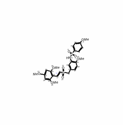 COc1ccc(S(=O)(=O)Nc2cc(CS(=O)(=O)/C=C/c3c(OC)cc(OC)cc3OC)ccc2OC)cc1